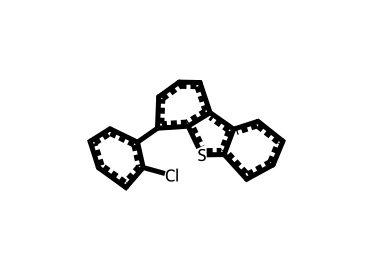 Clc1ccccc1-c1cccc2c1sc1ccccc12